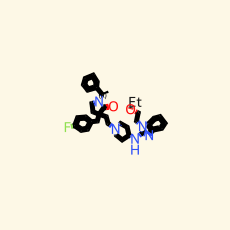 CCOCCn1c(NC2CCN(CCC3(Cc4ccc(F)cc4)CCN([C@H](C)c4ccccc4)C3=O)CC2)nc2ccccc21